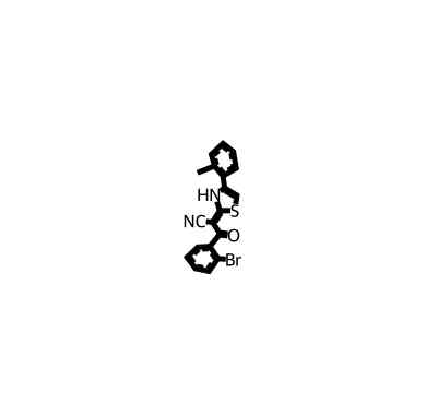 Cc1ccccc1C1=CSC(=C(C#N)C(=O)c2ccccc2Br)N1